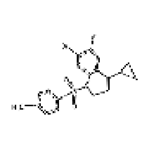 Cc1ccc(S(=O)(=O)N2CC=C(C3CC3)c3cc(F)c(Br)cc32)cc1